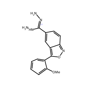 COc1ccccc1-c1onc2ccc(/C(=N/N)NN)cc12